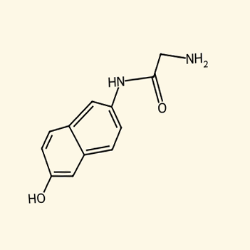 NCC(=O)Nc1ccc2cc(O)ccc2c1